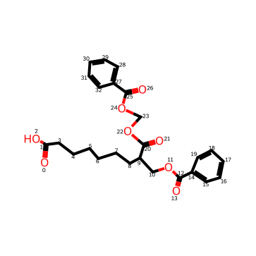 O=C(O)CCCCCCC(COC(=O)c1ccccc1)C(=O)OCOC(=O)c1ccccc1